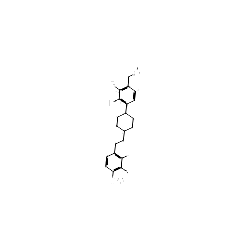 CCOCc1ccc(C2CCC(CCc3ccc(OC)c(F)c3F)CC2)c(F)c1F